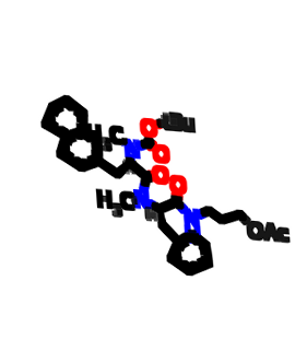 CC(=O)OCCCNC(=O)[C@@H](Cc1ccccc1)N(C)C(=O)[C@@H](Cc1ccc2ccccc2c1)N(C)C(=O)OC(C)(C)C